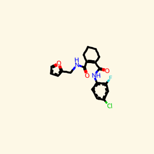 O=C(NCc1ccco1)C1=C(C(=O)Nc2ccc(Cl)cc2F)CCCC1